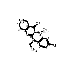 CCN(c1ccc(Cl)cc1)c1nc2c(c(=O)n1OC)CNCC2